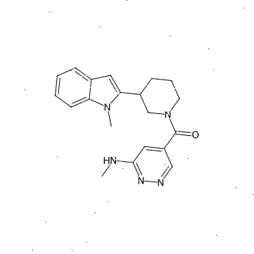 CNc1cc(C(=O)N2CCCC(c3cc4ccccc4n3C)C2)cnn1